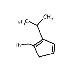 CC(C)C1=[C]([Hf])CC=C1